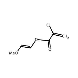 C=C(Cl)C(=O)OC=COC